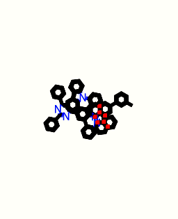 Cc1cccc(-c2ccc3c(c2)c2ccccc2n3-c2c(-c3ccccc3-n3c4ccccc4c4ccccc43)cc(-c3cc(-c4ccccc4)nc(-c4ccccc4)n3)cc2-c2ccccc2-n2c3ccccc3c3ccccc32)c1